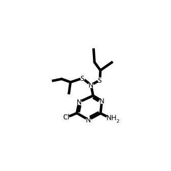 CCC(C)SN(SC(C)CC)c1nc(N)nc(Cl)n1